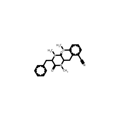 COc1cccc(C#N)c1CC1C(=O)N(C)C(Cc2ccccc2)C(=O)N1C